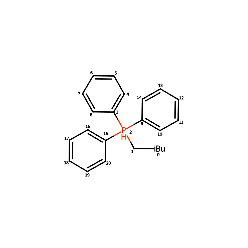 CCC(C)C[PH](c1ccccc1)(c1ccccc1)c1ccccc1